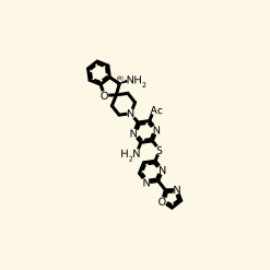 CC(=O)c1nc(Sc2ccnc(-c3ncco3)n2)c(N)nc1N1CCC2(CC1)Oc1ccccc1[C@H]2N